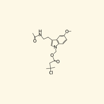 COc1ccc2c(c1)c(CCNC(C)=O)cn2COC(=O)CC(C)(C)Cl